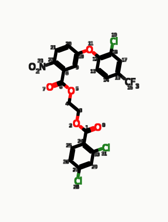 O=C(OCCOC(=O)c1cc(Oc2ccc(C(F)(F)F)cc2Cl)ccc1[N+](=O)[O-])c1ccc(Cl)cc1Cl